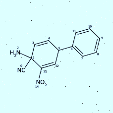 N#CC1(N)C=CC(c2ccccc2)C=C1[N+](=O)[O-]